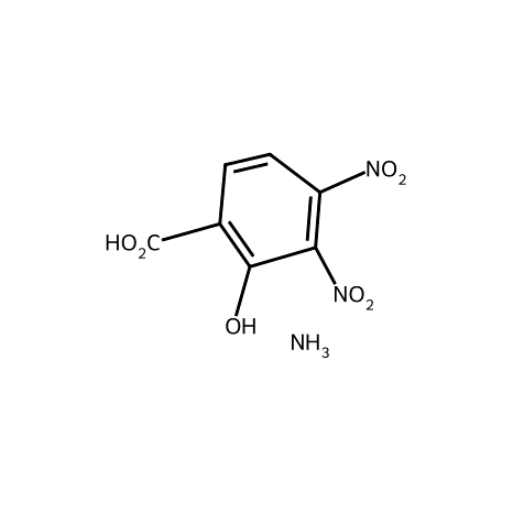 N.O=C(O)c1ccc([N+](=O)[O-])c([N+](=O)[O-])c1O